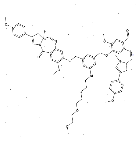 COCCOCCOCCNc1cc(COc2cc3c(cc2OC)C(=O)N2C=C(c4ccc(OC)cc4)C[C@H]2C=N3)cc(COc2cc(/N=C\C3CC(c4ccc(OC)cc4)=CN3C)c(C=O)cc2OC)c1